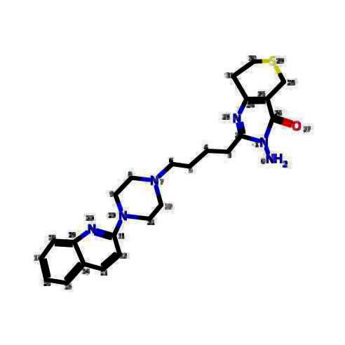 Nn1c(CCCCN2CCN(c3ccc4ccccc4n3)CC2)nc2c(c1=O)CSCC2